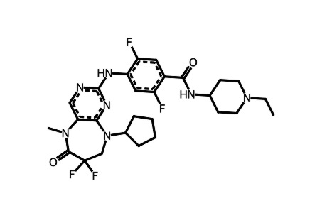 CCN1CCC(NC(=O)c2cc(F)c(Nc3ncc4c(n3)N(C3CCCC3)CC(F)(F)C(=O)N4C)cc2F)CC1